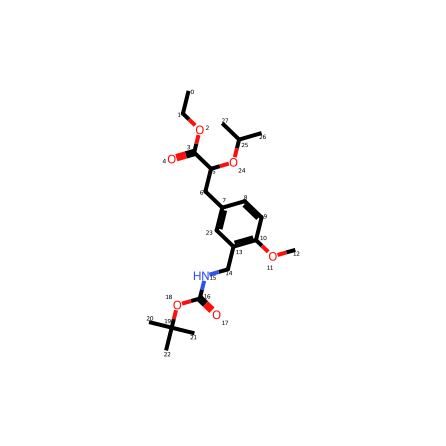 CCOC(=O)C(Cc1ccc(OC)c(CNC(=O)OC(C)(C)C)c1)OC(C)C